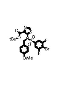 COc1ccc(CN(c2scnc2C(=O)OC(C)(C)C)S(=O)(=O)c2cc(F)c(Br)c(F)c2)cc1